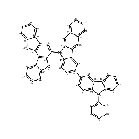 c1ccc(-n2c3ccccc3c3cc(-c4ccc5c(c4)c4cc6ccccc6cc4n5-c4cc5c6ccccc6sc5c5c4oc4ccccc45)ccc32)cc1